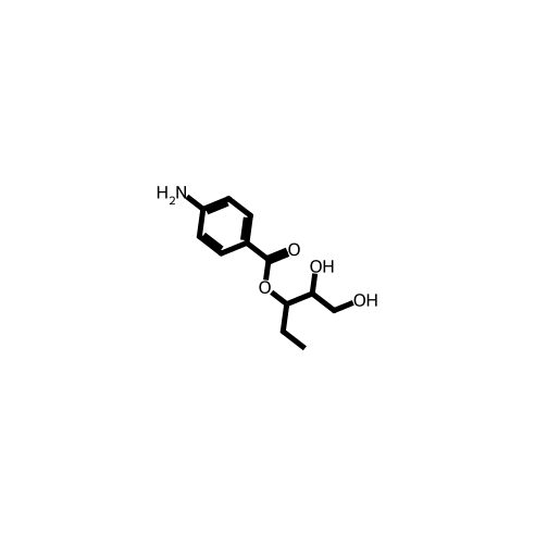 CCC(OC(=O)c1ccc(N)cc1)C(O)CO